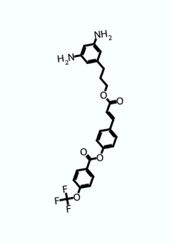 Nc1cc(N)cc(CCCOC(=O)/C=C/c2ccc(OC(=O)c3ccc(OC(F)(F)F)cc3)cc2)c1